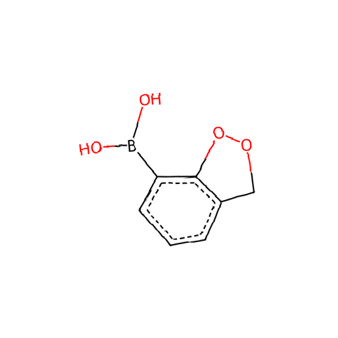 OB(O)c1cccc2c1OOC2